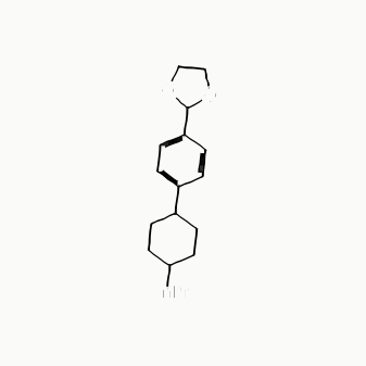 CCCC1CCC(c2ccc(C3OCCO3)cc2)CC1